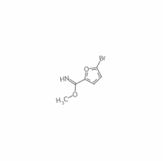 COC(=N)c1ccc(Br)o1